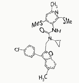 CSc1cc(C)nc(SC)c1NC(=O)N(Cc1oc2ccc(C)cc2c1-c1ccc(Cl)cc1)C1CC1